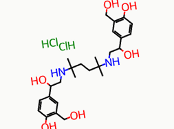 CC(C)(CCC(C)(C)NCC(O)c1ccc(O)c(CO)c1)NCC(O)c1ccc(O)c(CO)c1.Cl.Cl